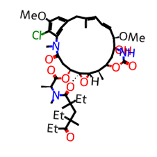 CCC(=O)C(C)(CC)CC(C)(CC)C(=O)N(C)[C@@H](C)C(=O)O[C@H]1CC(=O)N(C)c2cc(cc(OC)c2Cl)C/C(C)=C/C=C/[C@@H](OC)[C@@]2(O)CC(OC(=O)N2)[C@@H](C)[C@@H]2O[C@@]12C